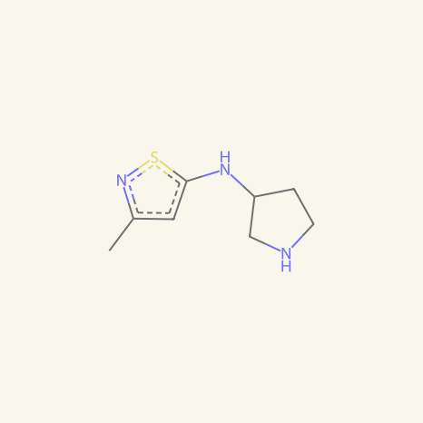 Cc1cc(NC2CCNC2)sn1